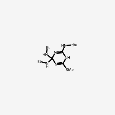 CCNC1(NCC)N=C(NC(C)(C)C)NC(SC)=N1